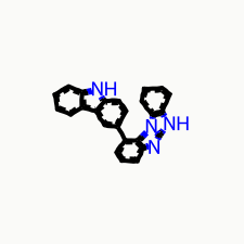 c1cc(-c2ccc3[nH]c4ccccc4c3c2)c2c(c1)nc1[nH]c3ccccc3n12